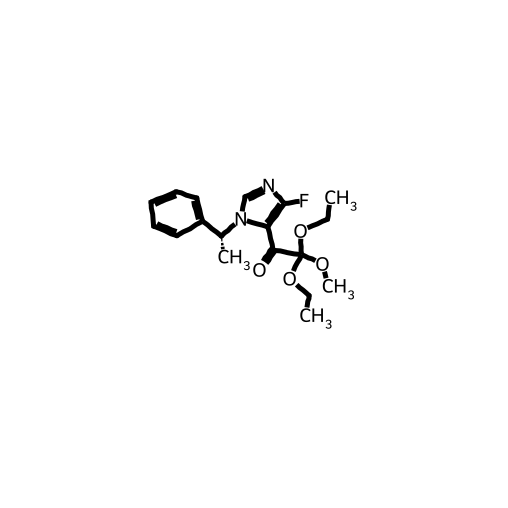 CCOC(OC)(OCC)C(=O)c1c(F)ncn1[C@H](C)c1ccccc1